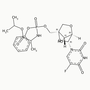 CC(C)OC(=O)C(C)NP(=O)(OC[C@@]12CO[C@@H]([C@H](n3cc(F)c(=O)[nH]c3=O)O1)[C@@H]2O)Oc1ccccc1